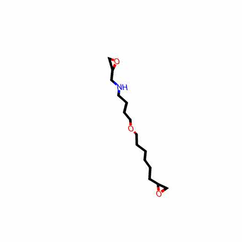 C(CCCC1CO1)CCOCCCCNCC1CO1